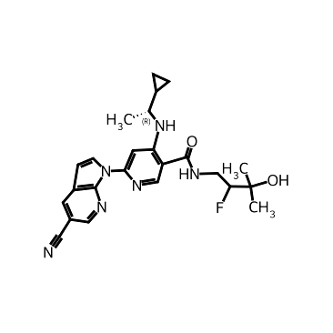 C[C@@H](Nc1cc(-n2ccc3cc(C#N)cnc32)ncc1C(=O)NCC(F)C(C)(C)O)C1CC1